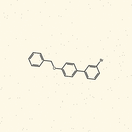 Brc1cccc(-c2ccc(OCc3ccccc3)cc2)c1